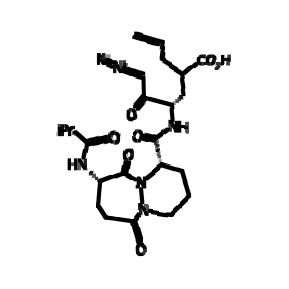 C=CCC(C[C@H](NC(=O)[C@@H]1CCCN2C(=O)CC[C@H](NC(=O)C(C)C)C(=O)N12)C(=O)C=[N+]=[N-])C(=O)O